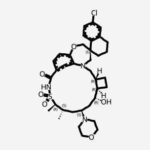 C[C@@H]1[C@@H](C)C[C@H](N2CCOCC2)C[C@@H](O)[C@@H]2CC[C@H]2CN2C[C@@]3(CCCc4cc(Cl)ccc43)COc3ccc(cc32)C(=O)NS1(=O)=O